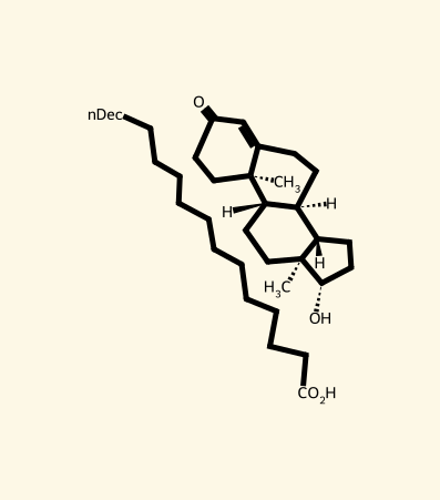 CCCCCCCCCCCCCCCCCCCCCC(=O)O.C[C@]12CC[C@H]3[C@@H](CCC4=CC(=O)CC[C@@]43C)[C@@H]1CC[C@@H]2O